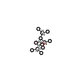 c1ccc(-c2cc(-c3ccc(N4c5ccccc5N(c5cc(-c6ccccc6)nc(-c6ccccc6)n5)c5ccccc54)c(-c4cc(-c5ccccc5)nc(-c5ccccc5)n4)c3)nc(-c3ccccc3)n2)cc1